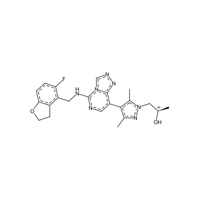 Cc1nn(C[C@@H](C)O)c(C)c1-c1cnc(NCc2c(F)ccc3c2CCO3)n2cnnc12